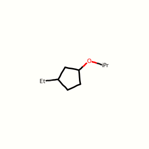 CCC1CCC(OC(C)C)C1